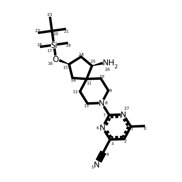 Cc1cc(C#N)nc(N2CCC3(CC2)C[C@@H](O[Si](C)(C)C(C)(C)C)C[C@H]3N)n1